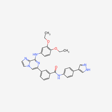 CCOc1ccc(Nc2nc(-c3cccc(C(=O)Nc4ccc(-c5cn[nH]c5)cc4)c3)cn3ccnc23)cc1OCC